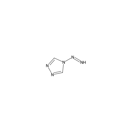 N=Nn1cnnc1